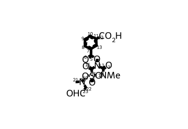 CNC(=O)N(OC(=O)c1cccc(C(=O)O)c1)C(=O)S(=O)(=O)ON(C)CC=O